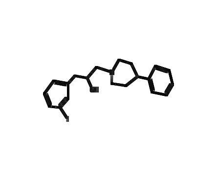 OC(Cc1cccc(I)c1)CN1CCC(c2ccccc2)CC1